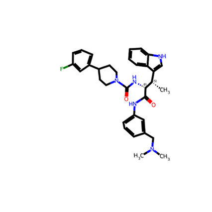 C[C@@H](c1c[nH]c2ccccc12)[C@@H](NC(=O)N1CCC(c2cccc(F)c2)CC1)C(=O)Nc1cccc(CN(C)C)c1